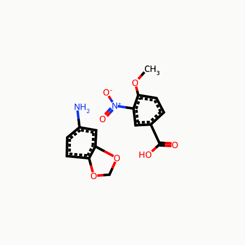 COc1ccc(C(=O)O)cc1[N+](=O)[O-].Nc1ccc2c(c1)OCO2